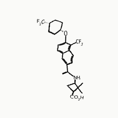 CC(NC1CC(C(=O)O)C1(C)C)c1ccc2c(C(F)(F)F)c(O[C@H]3CC[C@@H](C(F)(F)F)CC3)ccc2c1